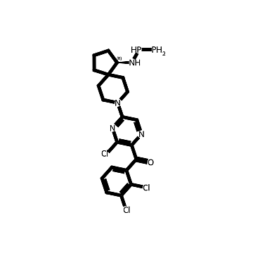 O=C(c1cccc(Cl)c1Cl)c1ncc(N2CCC3(CCC[C@H]3NPP)CC2)nc1Cl